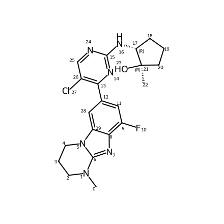 CN1CCCn2c1nc1c(F)cc(-c3nc(N[C@@H]4CCC[C@@]4(C)O)ncc3Cl)cc12